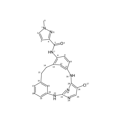 Cn1ccc(C(=O)Nc2ccc3cc2CCc2cccc(c2)Nc2ncc(Cl)c(n2)N3)n1